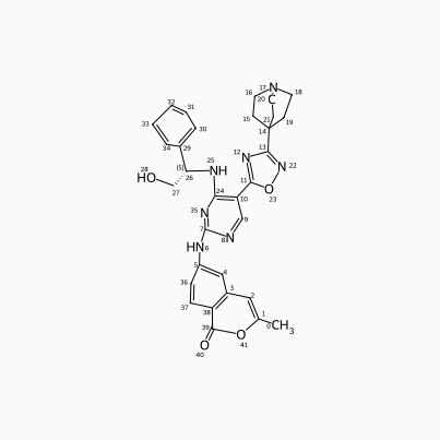 Cc1cc2cc(Nc3ncc(-c4nc(C56CCN(CC5)CC6)no4)c(N[C@H](CO)c4ccccc4)n3)ccc2c(=O)o1